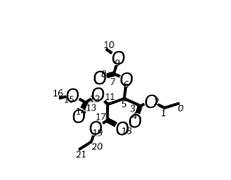 CCOC(=O)C(OC(=O)OC)C(OC(=O)OC)C(=O)OCC